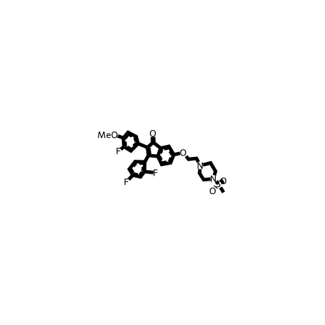 COc1ccc(C2=C(c3ccc(F)cc3F)c3ccc(OCCN4CCN(S(C)(=O)=O)CC4)cc3C2=O)cc1F